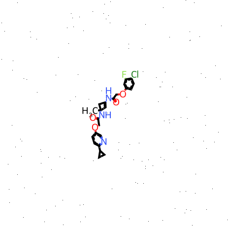 CC1(NC(=O)COc2ccc(C3CC3)nc2)C=C(NC(=O)COc2ccc(Cl)c(F)c2)C1